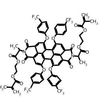 C=C(C)C(=O)OCCOC(=O)C(C)N1C(=O)c2cc(Oc3ccc(C(F)(F)F)cc3)c3c4c(Oc5ccc(C(F)(F)F)cc5)cc5c6c(cc(Oc7ccc(C(F)(F)F)cc7)c(c7c(Oc8ccc(C(F)(F)F)cc8)cc(c2c37)C1=O)c64)C(=O)N(C(C)C(=O)OCCOC(=O)C(=C)C)C5=O